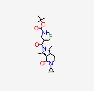 Cc1c2c(c(C)n1C(=O)C(=CF)CNC(=O)OC(C)(C)C)C(=O)N(C1CC1)CC2